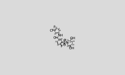 O=C(Nc1ccc(F)c(Cl)c1)c1ccc(F)c(S(=O)(=O)N2CC(O)CC[C@@H](O)C2)c1